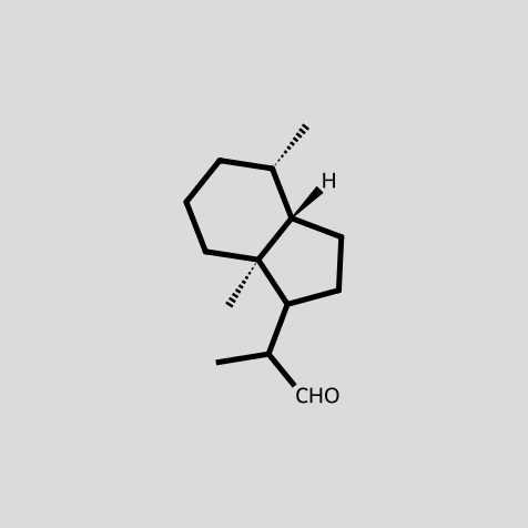 CC(C=O)C1CC[C@H]2[C@@H](C)CCC[C@]12C